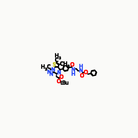 Cc1sc2c(c1C)C(c1ccc(C(=O)NCCNC(=O)OCc3ccccc3)cc1)=N[C@@H](CC(=O)OC(C)(C)C)c1nnc(C)n1-2